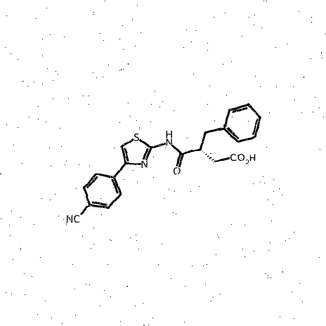 N#Cc1ccc(-c2csc(NC(=O)[C@@H](CC(=O)O)Cc3ccccc3)n2)cc1